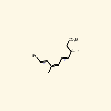 CCOC(=O)C[C@H](C)/C=C/C=C(C)\C=C\C(C)C